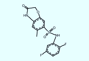 Cc1cc2c(cc1S(=O)(=O)Nc1cc(F)ccc1F)OCC(=O)N2